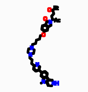 CCC(=O)CCC(C(C)=O)N1Cc2cc(OCCCCCN3CCN(CCCc4ccc(-c5ccc6c7c(n(C)c6c5)=CCNC=7)cn4)CC3)ccc2C1=O